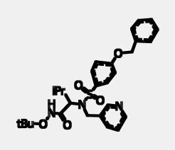 CC(C)C(C(=O)NOC(C)(C)C)N(Cc1cccnc1)S(=O)(=O)c1ccc(OCc2ccccc2)cc1